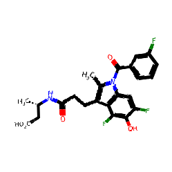 Cc1c(CCC(=O)N[C@@H](C)CC(=O)O)c2c(F)c(O)c(F)cc2n1C(=O)c1cccc(F)c1